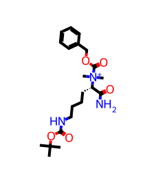 CC(C)(C)OC(=O)NCCCC[C@@H](C(N)=O)[N+](C)(C)C(=O)OCc1ccccc1